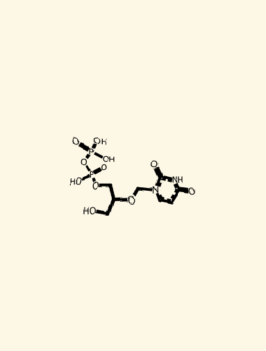 O=c1ccn(COC(CO)COP(=O)(O)OP(=O)(O)O)c(=O)[nH]1